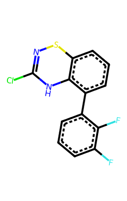 Fc1cccc(-c2cccc3c2NC(Cl)=NS3)c1F